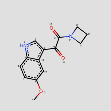 COc1ccc2[nH]cc(C(=O)C(=O)N3CCC3)c2c1